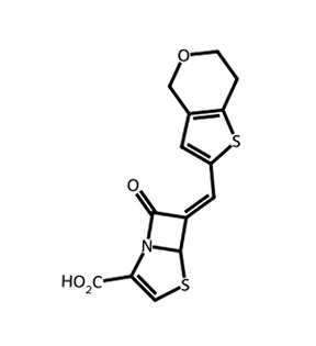 O=C(O)C1=CSC2C(=Cc3cc4c(s3)CCOC4)C(=O)N12